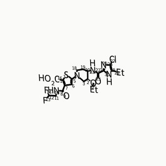 CCO[C@H]1CN(c2cc(C(=O)NCC(F)F)c(C(=O)O)s2)CC[C@H]1NC(=O)c1nc(Cl)c(CC)[nH]1